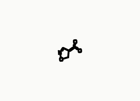 O=S(=O)=C1C=NOC1